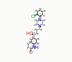 O=C1CCc2cc(C(O)CCCN3CCN(c4ccccc4Cl)CC3)ccc2N1